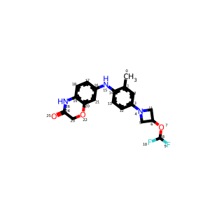 Cc1cc(N2CC(OC(F)F)C2)ccc1Nc1ccc2c(c1)OCC(=O)N2